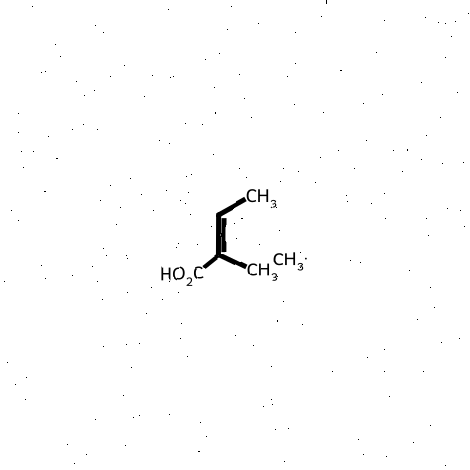 CC=C(C)C(=O)O.[CH3]